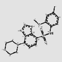 COc1cc(C)ccc1NS(=O)(=O)c1ccc(N2CCOCC2)c2nonc12